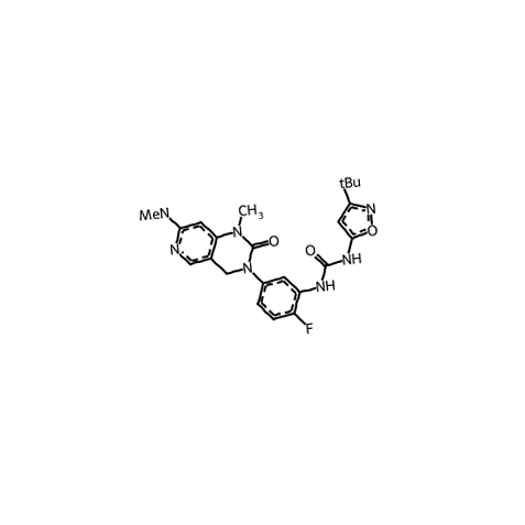 CNc1cc2c(cn1)CN(c1ccc(F)c(NC(=O)Nc3cc(C(C)(C)C)no3)c1)C(=O)N2C